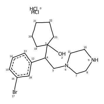 Cl.Cl.OC1(C(CN2CCNCC2)c2cccc(Br)c2)CCCCC1